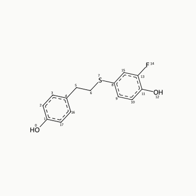 Oc1ccc(CCSc2ccc(O)c(F)c2)cc1